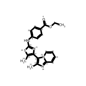 CCOC(=O)c1ccc(Nc2nc(-c3c(C)nc4ccccn34)c(C)s2)cc1